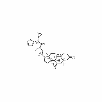 C[C@H](CC(=O)N[C@@H](c1cccs1)C1CC1)C1CC[C@H]2[C@@H]3C(=O)C[C@@H]4CC(=O)CC[C@]4(C)[C@H]3CC[C@]12C